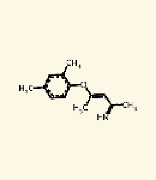 CC(=N)/C=C(\C)Oc1ccc(C)cc1C